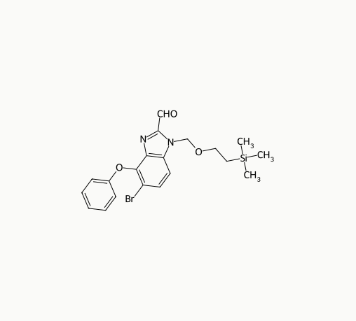 C[Si](C)(C)CCOCn1c(C=O)nc2c(Oc3ccccc3)c(Br)ccc21